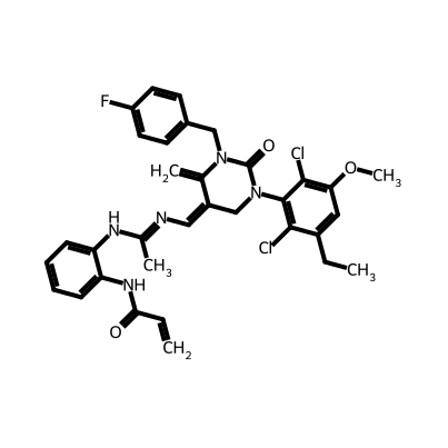 C=CC(=O)Nc1ccccc1N/C(C)=N/C=C1/CN(c2c(Cl)c(CC)cc(OC)c2Cl)C(=O)N(Cc2ccc(F)cc2)C1=C